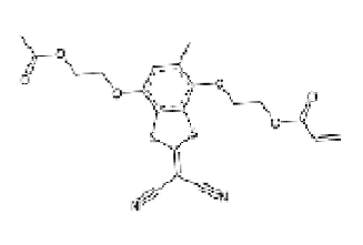 C=CC(=O)OCCOc1c(C)cc(OCCOC(C)=O)c2c1SC(=C(C#N)C#N)S2